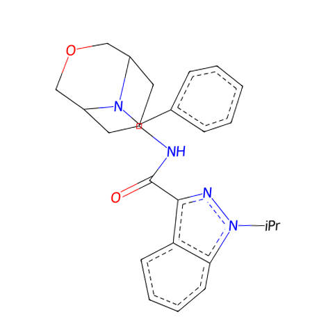 CC(C)n1nc(C(=O)NC2CC3COCC(C2)N3Cc2ccccc2)c2ccccc21